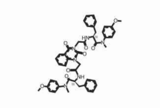 COc1ccc(N(C)C(=O)[C@H](Cc2ccccc2)NC(=O)Cn2c(=O)c3ccccc3n(CC(=O)N[C@@H](Cc3ccccc3)C(=O)N(C)c3ccc(OC)cc3)c2=O)cc1